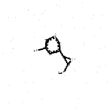 COC1OC1c1cncc(F)c1